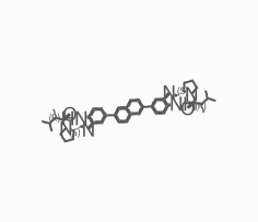 CC(C)[C@@H](C)C(=O)N1CCC[C@H]1c1nc2cc(-c3ccc4cc(-c5ccc6[nH]c([C@@H]7CCCN7C(=O)[C@H](C)C(C)C)nc6c5)ccc4c3)ccc2[nH]1